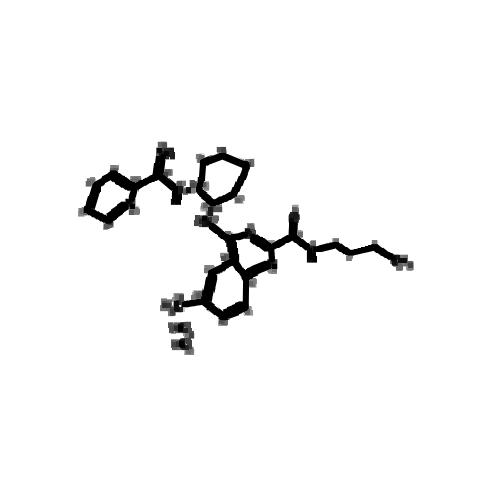 CCCCNC(=O)c1nc(N[C@H]2CCCC[C@H]2NC(=N)c2ccccn2)c2cc(C)ccc2n1.Cl.Cl